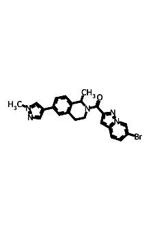 CC1c2ccc(-c3cnn(C)c3)cc2CCN1C(=O)c1cc2ccc(Br)cn2n1